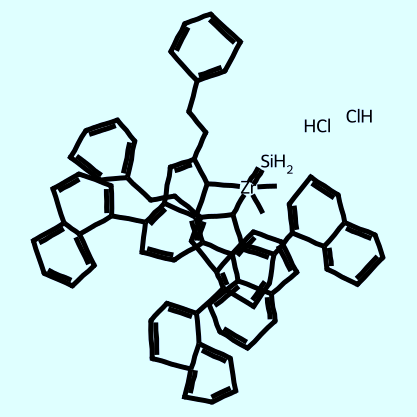 Cl.Cl.[CH3][Zr]([CH3])(=[SiH2])([CH]1C(CCc2ccccc2)=Cc2c(-c3cccc4ccccc34)ccc(-c3cccc4ccccc34)c21)[CH]1C(CCc2ccccc2)=Cc2c(-c3cccc4ccccc34)ccc(-c3cccc4ccccc34)c21